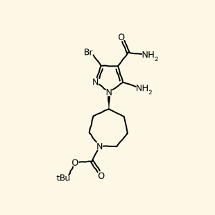 CC(C)(C)OC(=O)N1CCC[C@H](n2nc(Br)c(C(N)=O)c2N)CC1